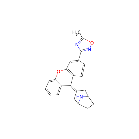 Cc1nc(-c2ccc3c(c2)Oc2ccccc2C3=C2CC3CCC(C2)N3)no1